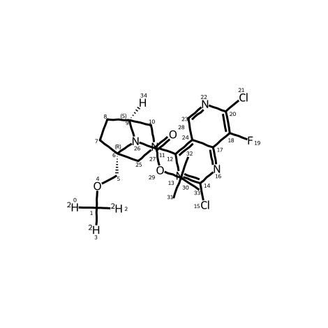 [2H]C([2H])([2H])OC[C@@]12CC[C@@H](CN(c3nc(Cl)nc4c(F)c(Cl)ncc34)C1)N2C(=O)OC(C)(C)C